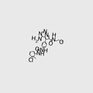 COCCNC(=O)c1cn2ncnc(N)c2c1-c1ccc(NC(=O)Nc2cccc(Cl)c2C)cc1